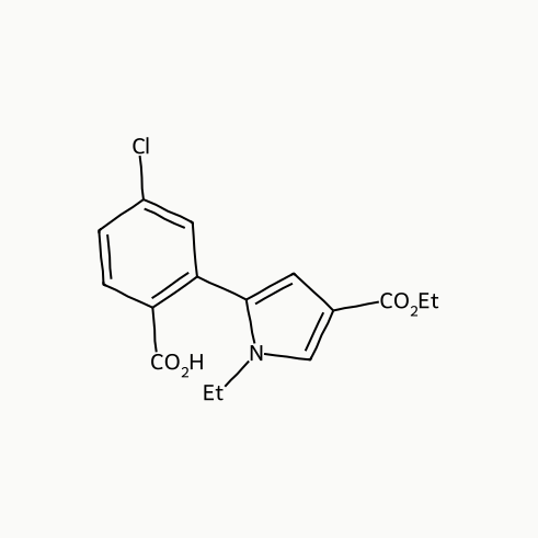 CCOC(=O)c1cc(-c2cc(Cl)ccc2C(=O)O)n(CC)c1